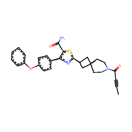 CC#CC(=O)N1CCC2(CC1)CC(c1nc(-c3ccc(Oc4ccccc4)cc3)c(C(N)=O)s1)C2